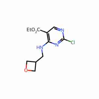 CCOC(=O)c1cnc(Cl)nc1NCC1COC1